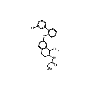 CC1c2cc(Oc3ccccc3-c3cccc(Cl)c3)ccc2CCC1NC(=O)OC(C)(C)C